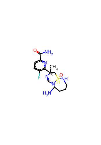 C[C@@]1(c2nc(C(N)=O)ccc2F)C[SH]2(=O)NCCCC(N)N2C=N1